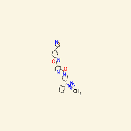 Cc1nnn(C(c2ccccc2)C2CCN(C(=O)c3cc(-c4nc5cc(-c6cnsc6)ccc5o4)ccn3)CC2)n1